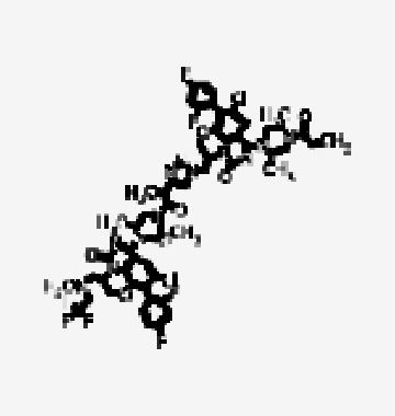 C=CC(=O)N1C[C@H](C)N(c2nc(=O)n3c4c(c(-c5ccc(F)cc5F)c(Cl)cc24)OCC3Cn2cc(C(=C)C(=O)N3C[C@H](C)N(c4nc(=O)n5c6c(c(-c7ccc(F)cc7F)c(Cl)cc46)OCC5CN(C)CC(F)(F)F)C[C@H]3C)nn2)C[C@H]1C